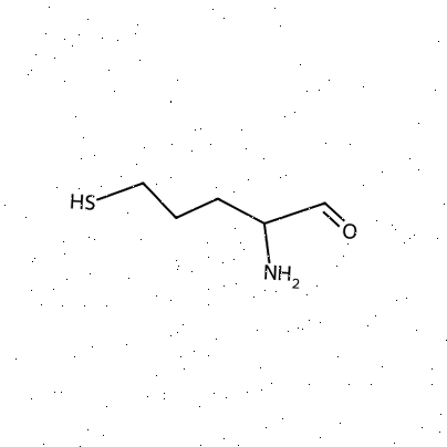 NC(C=O)CCCS